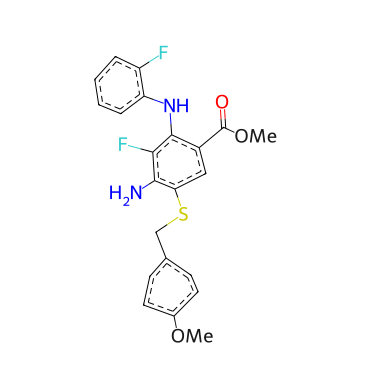 COC(=O)c1cc(SCc2ccc(OC)cc2)c(N)c(F)c1Nc1ccccc1F